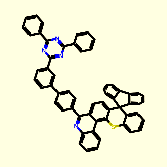 c1ccc(-c2nc(-c3ccccc3)nc(-c3cccc(-c4ccc(-c5nc6ccccc6c6c7c(ccc56)C5(c6ccccc6S7)c6ccccc6-c6ccccc65)cc4)c3)n2)cc1